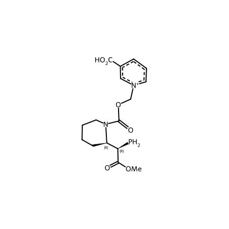 COC(=O)[C@H](P)[C@H]1CCCCN1C(=O)OC[n+]1cccc(C(=O)O)c1